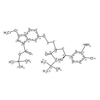 COc1nn(C(=O)OC(C)(C)C)c2cc(OCCN(C[C@H](O)c3ccc(Cl)c(N)c3)C(=O)OC(C)(C)C)ccc12